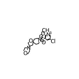 COc1ncc(Cl)cc1S(=O)(=O)N1CCC2(CC1)C[C@@H](N1CCOCC1)CO2